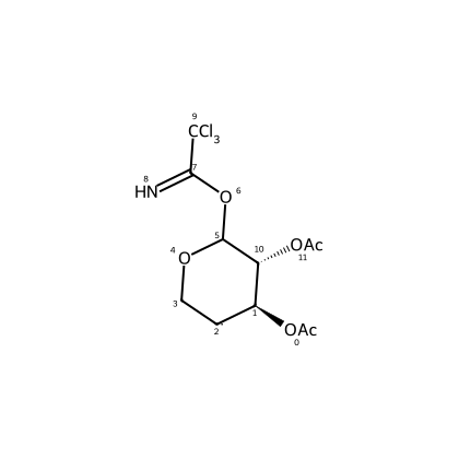 CC(=O)O[C@H]1[CH]COC(OC(=N)C(Cl)(Cl)Cl)[C@@H]1OC(C)=O